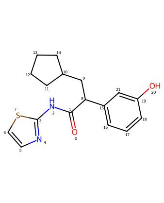 O=C(Nc1nccs1)C(CC1CCCC1)c1cccc(O)c1